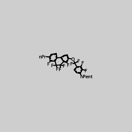 CCCCCc1ccc(C(F)(F)Oc2ccc3c(c2F)C(F)(F)C(F)(F)c2c-3ccc(CCC)c2F)c(F)c1F